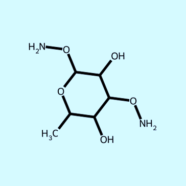 CC1OC(ON)C(O)C(ON)C1O